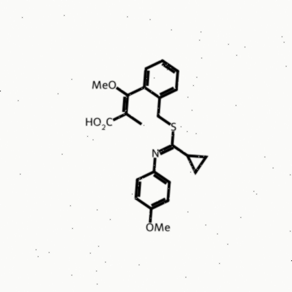 COC(=C(C)C(=O)O)c1ccccc1CSC(=Nc1ccc(OC)cc1)C1CC1